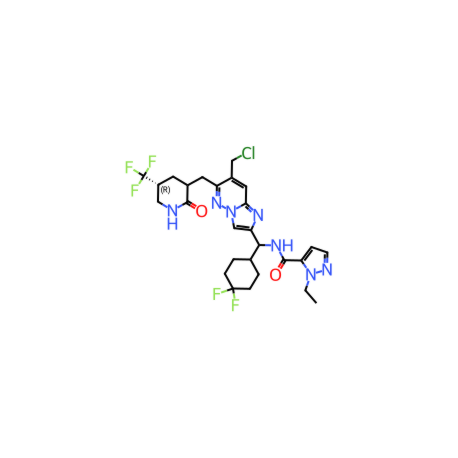 CCn1nccc1C(=O)NC(c1cn2nc(CC3C[C@@H](C(F)(F)F)CNC3=O)c(CCl)cc2n1)C1CCC(F)(F)CC1